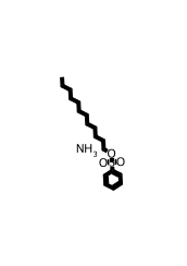 CCCCCCCCCCCCOS(=O)(=O)c1ccccc1.N